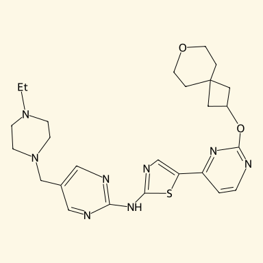 CCN1CCN(Cc2cnc(Nc3ncc(-c4ccnc(OC5CC6(CCOCC6)C5)n4)s3)nc2)CC1